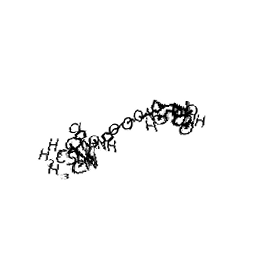 Cc1sc2c(c1C)C(c1ccc(Cl)cc1)=N[C@@H](CC(=O)Nc1ccc(OCCOCCOCCNc3cccc4cnn(C5CCC(=O)NC5=O)c(=O)c34)cc1)c1nnc(C)n1-2